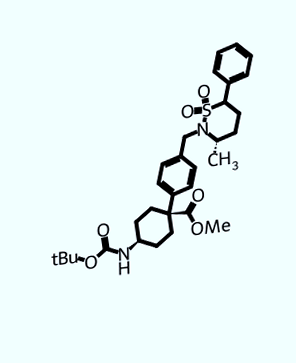 COC(=O)[C@]1(c2ccc(CN3[C@@H](C)CCC(c4ccccc4)S3(=O)=O)cc2)CC[C@H](NC(=O)OC(C)(C)C)CC1